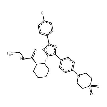 O=C(NCC(F)(F)F)[C@@H]1CCCC[C@H]1c1oc(-c2ccc(F)cc2)nc1-c1ccc(N2CCS(=O)(=O)CC2)cc1